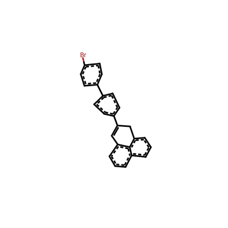 Brc1ccc(-c2ccc(C3=Cc4cccc5cccc(c45)C3)cc2)cc1